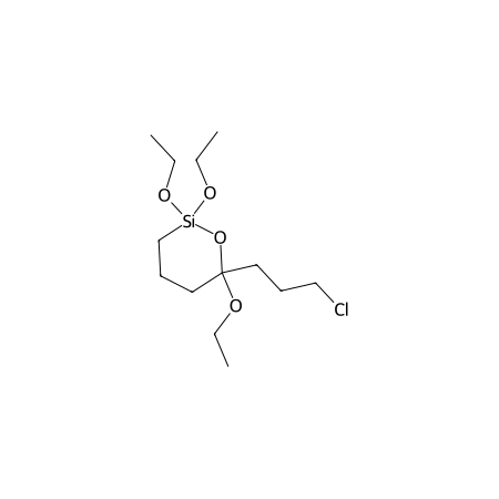 CCOC1(CCCCl)CCC[Si](OCC)(OCC)O1